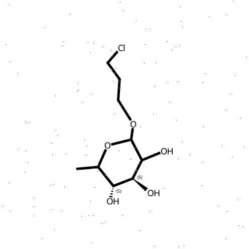 CC1OC(OCCCCl)C(O)[C@@H](O)[C@@H]1O